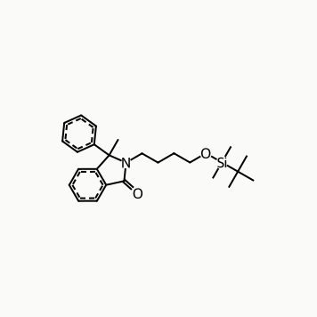 CC1(c2ccccc2)c2ccccc2C(=O)N1CCCCO[Si](C)(C)C(C)(C)C